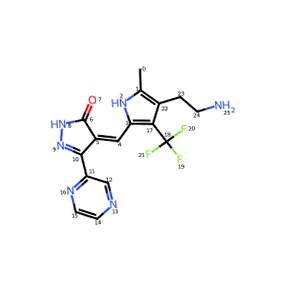 Cc1[nH]c(C=C2C(=O)NN=C2c2cnccn2)c(C(F)(F)F)c1CCN